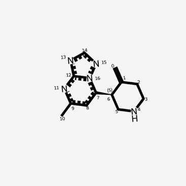 C=C1CCNC[C@H]1c1cc(C)nc2ncnn12